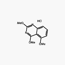 COc1nc(OC)c2c(OC)cccc2n1.Cl